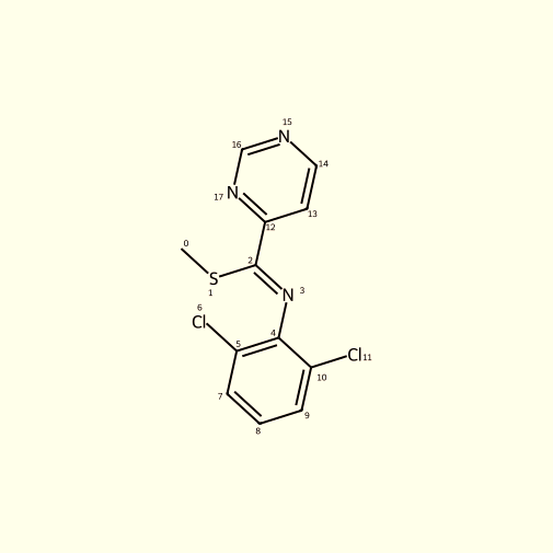 CS/C(=N\c1c(Cl)cccc1Cl)c1ccncn1